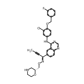 CC#C/C(=N\OC[C@H]1CNCCO1)c1ccc2ncnc(Nc3ccc(OCc4cccc(F)c4)c(Cl)c3)c2c1